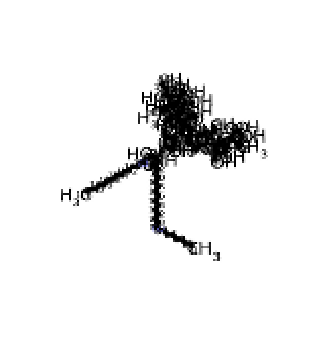 CCCCCCCC/C=C\CCCCCCCCCCCCCC(=O)N[C@@H](CO[C@@H]1OC(CO)[C@@H](O[C@@H]2OC(CO)[C@H](O[C@@H]3OC(CO)[C@H](O)[C@H](O[C@@H]4OC(CO)[C@H](O)[C@H](O)C4O[C@H]4OC(C)[C@@H](O)C(O)[C@@H]4O)C3NC(C)=O)[C@H](O[C@]3(C(=O)O)CC(O)[C@@H](NC(C)=O)C([C@H](O)[C@@H](CO)O[C@]4(C(=O)O)CC(O)[C@@H](NC(C)=O)C([C@H](O)[C@H](O)CO)O4)O3)C2O)[C@H](O)C1O)[C@H](O)/C=C/CCCCCCCCCCCCC